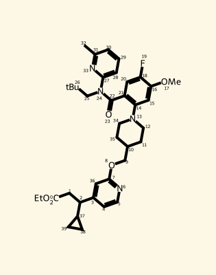 CCOC(=O)CC(c1ccnc(OCC2CCN(c3cc(OC)c(F)cc3C(=O)N(CC(C)(C)C)c3cccc(C)n3)CC2)c1)C1CC1